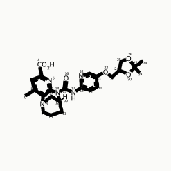 Cc1cc(C(=O)O)nc2c1N1CCC[C@@H](C1)N2C(=O)Nc1ccc(OCC2COC(C)(C)O2)cn1